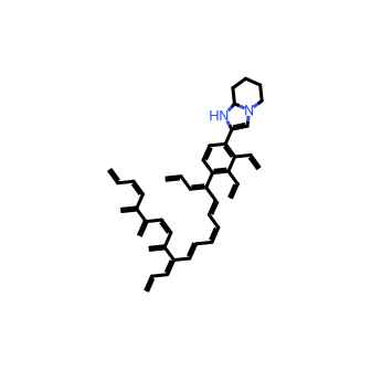 C=C/C=C\C(=C)C(=C)/C=C\C(=C)C(=C\C=C)/C=C/C=C\C=C\C(=C\C=C)c1ccc(C2=CN3CCCCC3N2)c(C=C)c1C=C